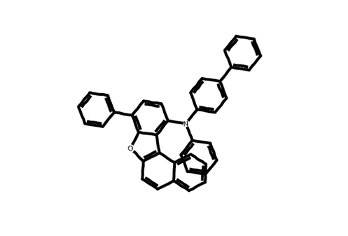 c1ccc(-c2ccc(N(c3ccccc3)c3ccc(-c4ccccc4)c4oc5ccc6ccccc6c5c34)cc2)cc1